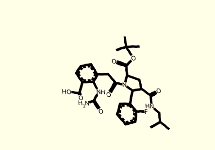 CC(C)CNC(=O)C1CC(C(=O)OC(C)(C)C)N(C(=O)Cc2cccc(C(=O)O)c2NC(N)=O)C1c1ccccc1F